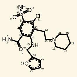 NC(=O)c1cc(S(N)(=O)=O)c(Cl)c(CCN2CCCCC2)c1NCc1ccco1